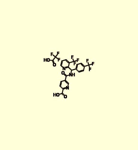 O=C(NC(c1ccc(C(F)(F)F)cc1)c1ncccc1C(F)(F)F)c1ccc(C(=O)O)nc1.O=C(O)C(F)(F)F